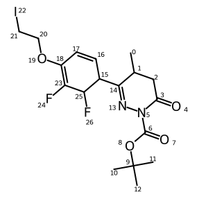 CC1CC(=O)N(C(=O)OC(C)(C)C)N=C1C1C=CC(OCCI)=C(F)C1F